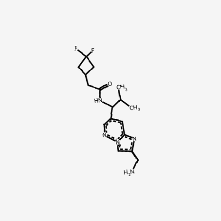 CC(C)C(NC(=O)CC1CC(F)(F)C1)c1cnn2cc(CN)nc2c1